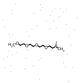 COCCOCCOCCOCCN(C)I